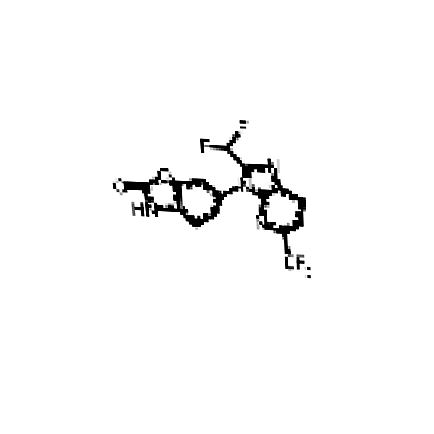 O=c1[nH]c2ccc(-n3c(C(F)F)nc4ccc(C(F)(F)F)nc43)cc2o1